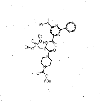 CCCCOC(=O)N1CCN(C(=O)[C@H](CP(=O)(OCC)OCC)NC(=O)c2cc(NC(C)C)nc(-c3ccccc3)n2)CC1